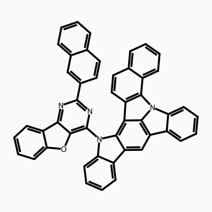 c1ccc2cc(-c3nc(-n4c5ccccc5c5cc6c7ccccc7n7c8c9ccccc9ccc8c(c54)c67)c4oc5ccccc5c4n3)ccc2c1